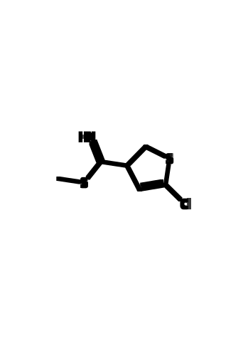 CSC(=N)C1C=C(Cl)SC1